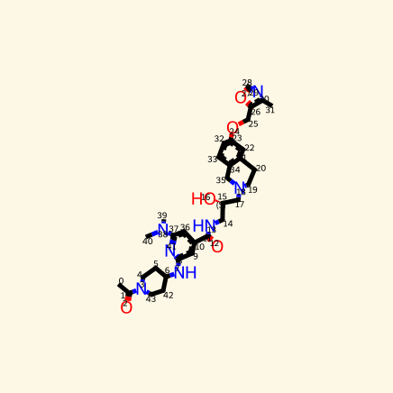 CC(=O)N1CCC(Nc2cc(C(=O)NC[C@H](O)CN3CCc4cc(OCc5ocnc5C)ccc4C3)cc(N(C)C)n2)CC1